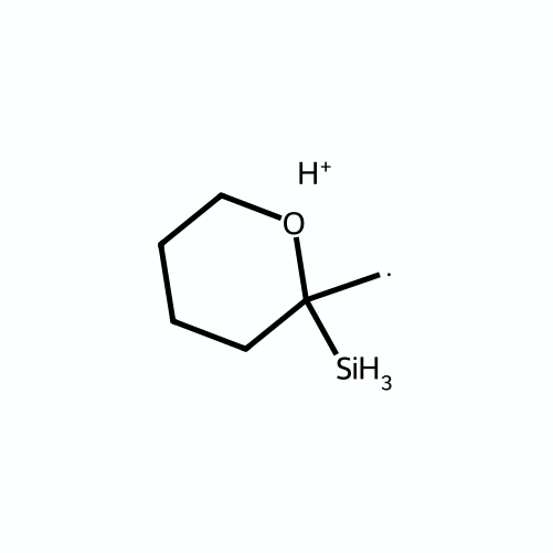 [CH2]C1([SiH3])CCCCO1.[H+]